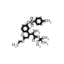 CCOC(=O)CC(c1cccc(OS(=O)(=O)c2ccc(C)cc2)c1)C(N)C(=O)OC(C)(C)C